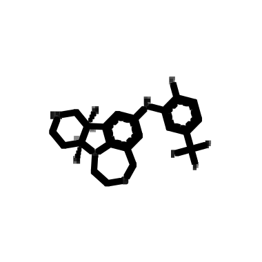 Fc1ccc(C(F)(F)F)cc1Nc1cc2c3c(c1)[C@@H]1CNCC[C@@H]1N3CCOC2